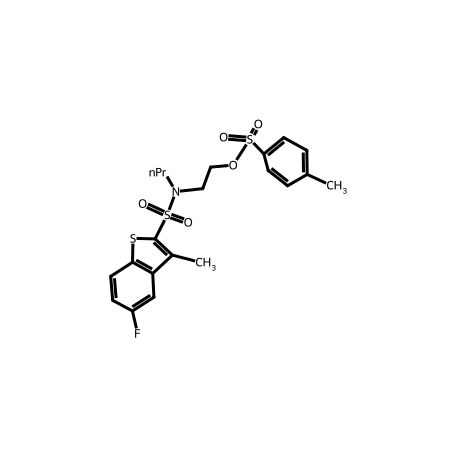 CCCN(CCOS(=O)(=O)c1ccc(C)cc1)S(=O)(=O)c1sc2ccc(F)cc2c1C